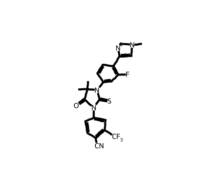 Cn1cnc(-c2ccc(N3C(=S)N(c4ccc(C#N)c(C(F)(F)F)c4)C(=O)C3(C)C)cc2F)c1